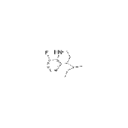 CC1C(C)C12CCNc1c(F)cccc12